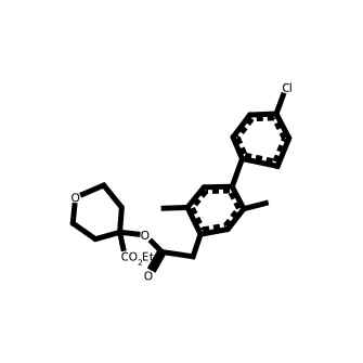 CCOC(=O)C1(OC(=O)Cc2cc(C)c(-c3ccc(Cl)cc3)cc2C)CCOCC1